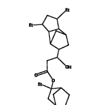 CCC1CC(CC)C2C3CC(CC3C(O)CC(=O)OC3(CC)CC4CCC3C4)C12